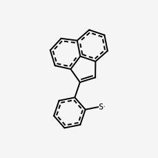 [S]c1ccccc1C1=Cc2cccc3cccc1c23